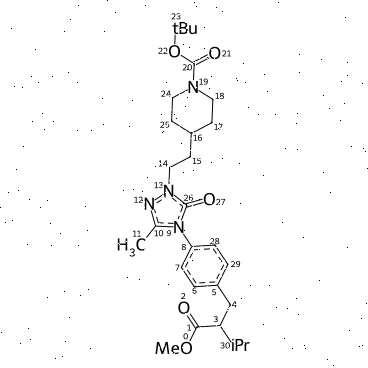 COC(=O)C(Cc1ccc(-n2c(C)nn(CCC3CCN(C(=O)OC(C)(C)C)CC3)c2=O)cc1)C(C)C